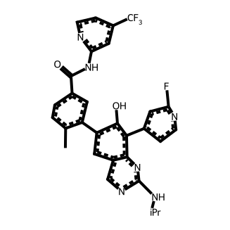 Cc1ccc(C(=O)Nc2cc(C(F)(F)F)ccn2)cc1-c1cc2cnc(NC(C)C)nc2c(-c2ccnc(F)c2)c1O